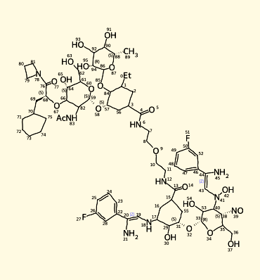 CCC1CC(C(=O)NCCOCCNC(=O)C2CC(N/C=C(\N)c3cccc(F)c3)C(O)[C@@H](O[C@H]3OC(CO)[C@@H](N=O)C(N(O)/C=C(\N)c4cccc(F)c4)C3O)C2)C[C@H](O[C@H]2OC(CO)[C@@H](O)C(O[C@@H](CC3CCCCC3)C(=O)N3CCC3)C2NC(C)=O)C1OC1O[C@@H](C)C(O)C(O)[C@H]1O